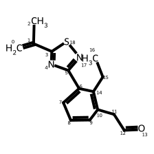 C=C(C)c1nc(-c2cccc(CC=O)c2CC)ns1